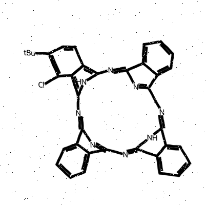 CC(C)(C)c1ccc2c3nc4nc(nc5[nH]c(nc6nc(nc([nH]3)c2c1Cl)-c1ccccc1-6)c1ccccc51)-c1ccccc1-4